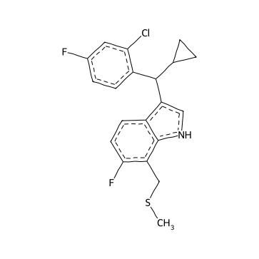 CSCc1c(F)ccc2c(C(c3ccc(F)cc3Cl)C3CC3)c[nH]c12